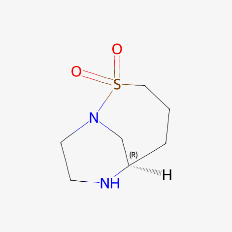 O=S1(=O)CCC[C@@H]2CN1CCN2